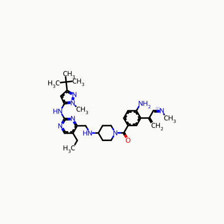 C=C(/C=N\C)c1cc(C(=O)N2CCC(NCc3nc(Nc4cc(C(C)(C)C)nn4C)ncc3CC)CC2)ccc1N